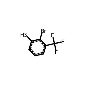 FC(F)(F)c1cccc(S)c1Br